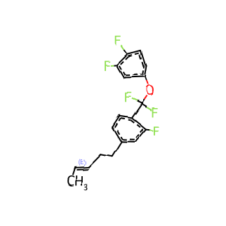 C/C=C/CCc1ccc(C(F)(F)Oc2ccc(F)c(F)c2)c(F)c1